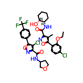 CCOc1cc(Cl)ccc1-c1onc(C(=O)N[C@H]2CCCC[C@H]2O)c1C.O=C(NC1CCOC1)c1noc(-c2ccc(C(F)(F)F)cc2)c1Cl